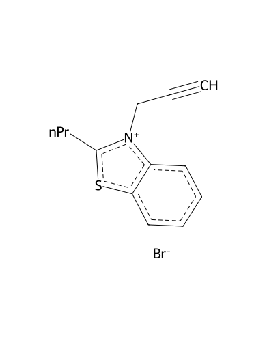 C#CC[n+]1c(CCC)sc2ccccc21.[Br-]